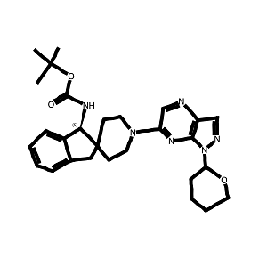 CC(C)(C)OC(=O)N[C@@H]1c2ccccc2CC12CCN(c1cnc3cnn(C4CCCCO4)c3n1)CC2